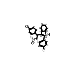 O=[N+]([O-])CC(c1ccc(Cl)cc1)c1c(-c2ccc(Cl)cc2)[nH]c2ccccc12